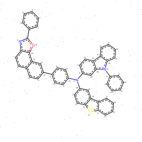 c1ccc(-c2nc3ccc4ccc(-c5ccc(N(c6ccc7sc8ccccc8c7c6)c6ccc7c8ccccc8n(-c8ccccc8)c7c6)cc5)cc4c3o2)cc1